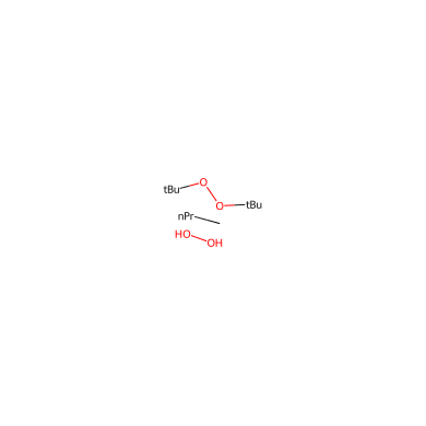 CC(C)(C)OOC(C)(C)C.CCCC.OO